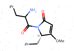 COC1=CC(=O)N(C(=O)C(N)CC(C)C)[C@H]1CC(C)C